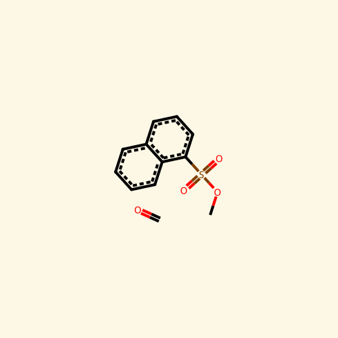 C=O.COS(=O)(=O)c1cccc2ccccc12